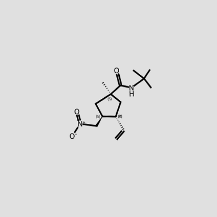 C=C[C@H]1C[C@](C)(C(=O)NC(C)(C)C)C[C@@H]1C[N+](=O)[O-]